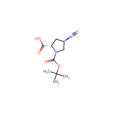 [C-]#[N+][C@@H]1C[C@@H](C(=O)O)N(C(=O)OC(C)(C)C)C1